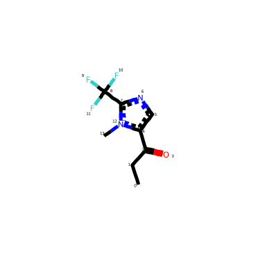 CCC(=O)c1cnc(C(F)(F)F)n1C